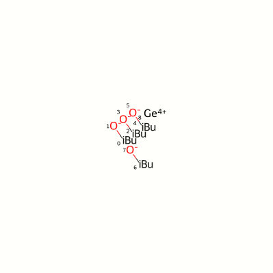 CCC(C)[O-].CCC(C)[O-].CCC(C)[O-].CCC(C)[O-].[Ge+4]